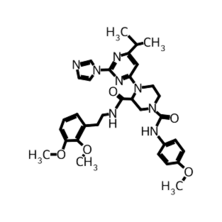 COc1ccc(NC(=O)N2CCN(c3cc(C(C)C)nc(-n4ccnc4)n3)C(C(=O)NCCc3cccc(OC)c3OC)C2)cc1